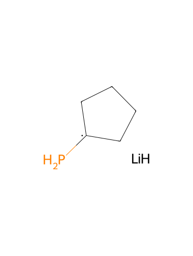 P[C]1CCCC1.[LiH]